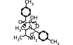 Cc1ccc(S(=O)(=O)N(C(C)C(C)N)P(O)(=S)S(=O)(=O)c2ccc(C)cc2)cc1